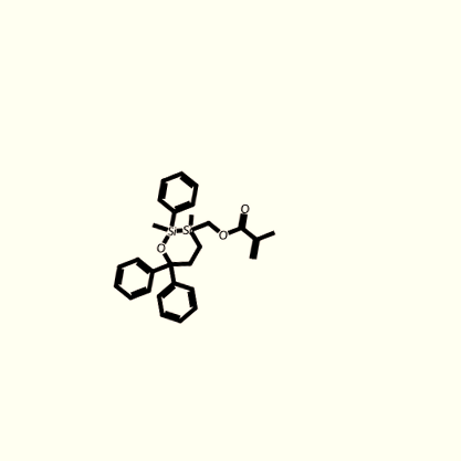 C=C(C)C(=O)OC[Si]1(C)CCC(c2ccccc2)(c2ccccc2)O[Si]1(C)c1ccccc1